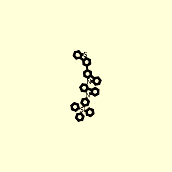 c1ccc([Si](c2ccccc2)(c2ccccc2)c2ccc(-n3c4ccccc4c4c(-n5c6ccccc6c6cc(-c7ccc8sc9ccccc9c8c7)ccc65)cccc43)cc2)cc1